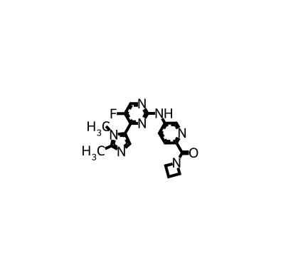 Cc1ncc(-c2nc(Nc3ccc(C(=O)N4CCC4)nc3)ncc2F)n1C